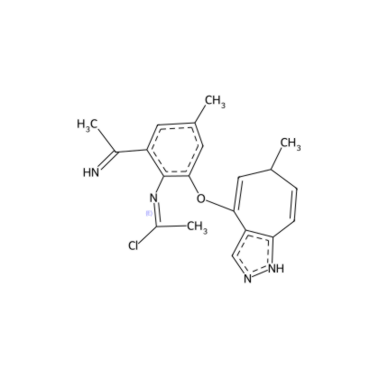 CC(=N)c1cc(C)cc(OC2=CC(C)C=Cc3[nH]ncc32)c1/N=C(\C)Cl